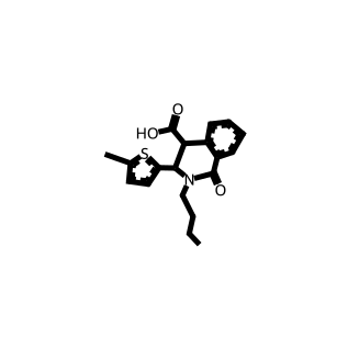 CCCCN1C(=O)c2ccccc2C(C(=O)O)C1c1ccc(C)s1